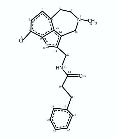 CN1CCc2ccc(Cl)c3sc(CNC(=O)CCc4ccccc4)c(c23)C1